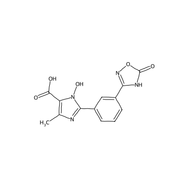 Cc1nc(-c2cccc(-c3noc(=O)[nH]3)c2)n(O)c1C(=O)O